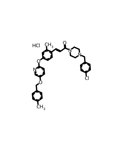 Cc1ccc(COc2ccc(Oc3ccc(C=CC(=O)N4CCN(Cc5ccc(Cl)cc5)CC4)c(C)c3)nc2)cc1.Cl